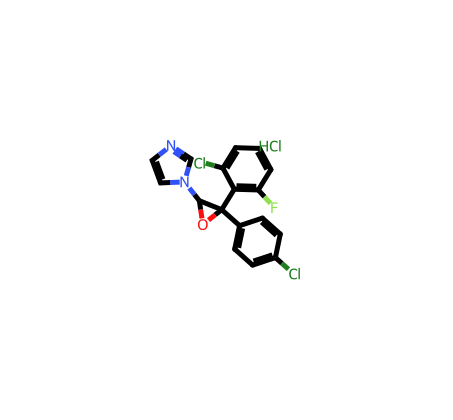 Cl.Fc1cccc(Cl)c1C1(c2ccc(Cl)cc2)OC1n1ccnc1